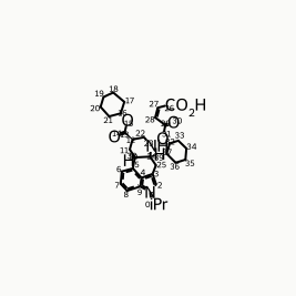 CC(C)n1cc2c3c(cccc31)[C@H]1C[C@@H](C(=O)OC3CCCCC3)CN[C@@H]1C2.O=C(O)/C=C\C(=O)OC1CCCCC1